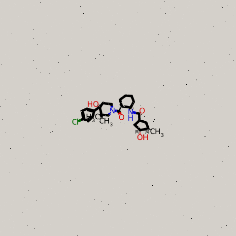 C[C@H]1CC(C(=O)N[C@@H]2CCCC[C@@H]2C(=O)N2CC[C@](O)(c3ccc(Cl)cc3)C(C)(C)C2)C[C@H]1O